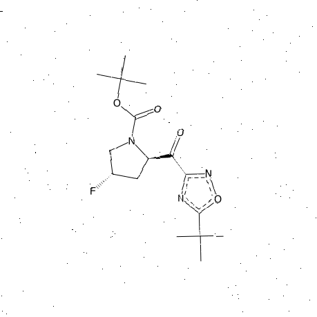 CC(C)(C)OC(=O)N1C[C@@H](F)C[C@@H]1C(=O)c1noc(C(C)(C)C)n1